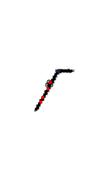 CCCCCCCCC=CCCCCCCCC(=O)OC(=O)CCCCCCC/C=C\CCCCCCCC